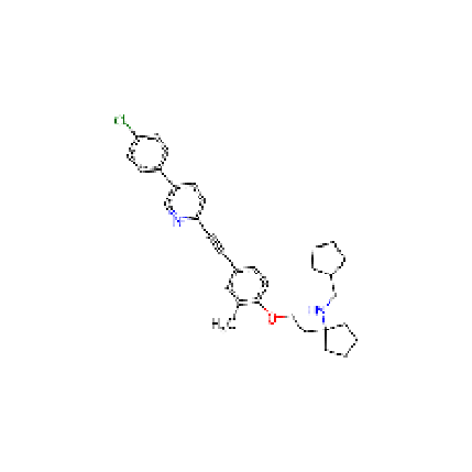 Cc1cc(C#Cc2ccc(-c3ccc(Cl)cc3)cn2)ccc1OCCC1(NCC2CCCC2)CCCC1